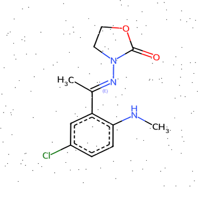 CNc1ccc(Cl)cc1/C(C)=N/N1CCOC1=O